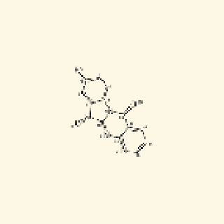 O=C1c2cc(F)ccc2-n2c1nc1ncccc1c2=O